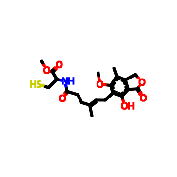 COC(=O)C(CS)NC(=O)CC/C(C)=C/Cc1c(O)c2c(c(C)c1OC)COC2=O